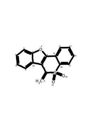 C=C1c2c(oc3ccccc23)-c2ccccc2S1(=O)=O